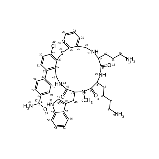 CN1C(=O)C(CCCCN)NC(=O)C(CCCN)NCc2cccnc2Sc2c(Cl)ccc(-c3ccc([S+](N)[O-])cc3)c2CNC(=O)C1Cc1c[nH]c2ccccc12